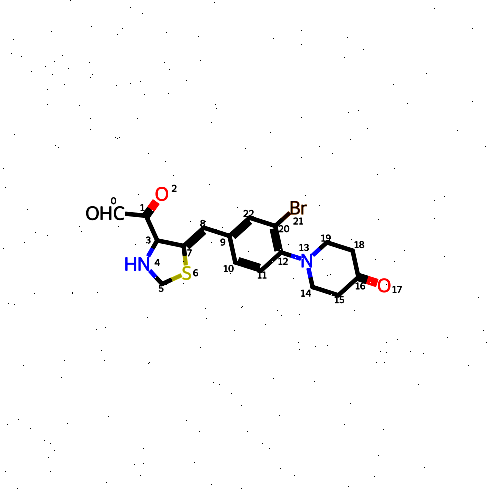 O=CC(=O)C1NCSC1=Cc1ccc(N2CCC(=O)CC2)c(Br)c1